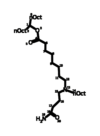 CCCCCCCCC(CCCCCCCC)OC(=O)CCCCCCCN(CCCCCCCC)CCCC(N)=O